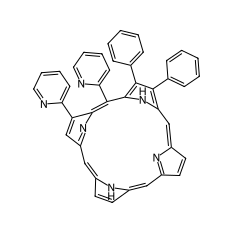 C1=Cc2cc3[nH]c(c(-c4ccccn4)c4nc(cc5ccc(cc1n2)[nH]5)C=C4c1ccccn1)c(-c1ccccc1)c3-c1ccccc1